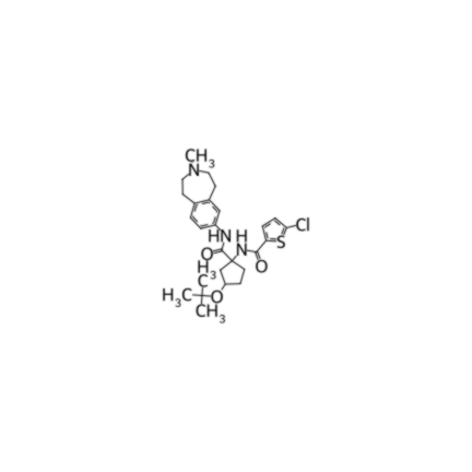 CN1CCc2ccc(NC(=O)C3(NC(=O)c4ccc(Cl)s4)CCC(OC(C)(C)C)C3)cc2CC1